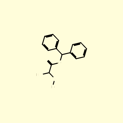 CCSC(O)C(=O)OC(c1ccccc1)c1ccccc1